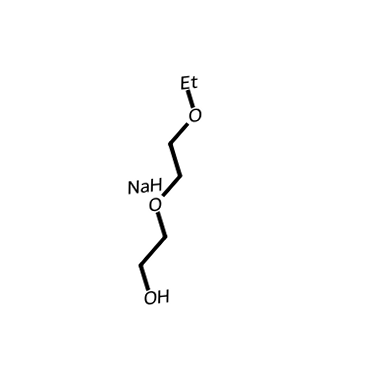 CCOCCOCCO.[NaH]